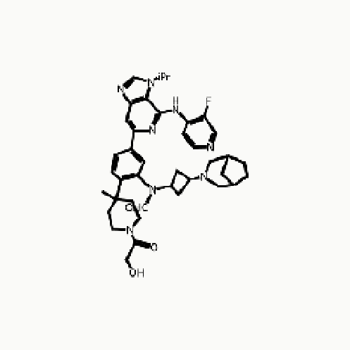 CC(C)n1cnc2cc(-c3ccc(C4(C)CCN(C(=O)CO)CC4)c(N(C=O)[C@H]4C[C@@H](N5CC6CCC(C6)C5)C4)c3)nc(Nc3ccncc3F)c21